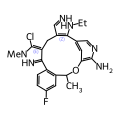 CCN/C1=C(\C=N)C/C(=C(\Cl)NC)C(=N)c2ccc(F)cc2C(C)Oc2cc1cnc2N